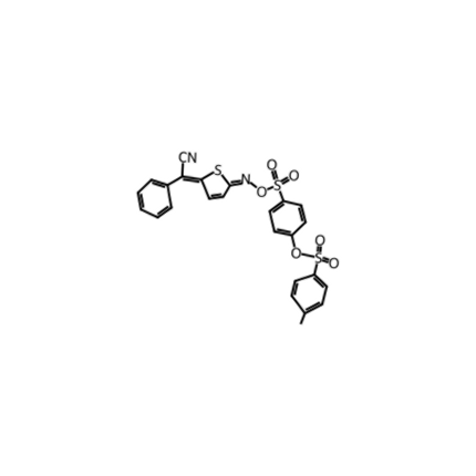 Cc1ccc(S(=O)(=O)Oc2ccc(S(=O)(=O)ON=C3C=CC(=C(C#N)c4ccccc4)S3)cc2)cc1